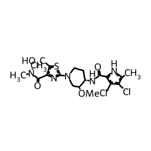 CO[C@H]1CN(c2nc(C(=O)N(C)C)c(C(=O)O)s2)CC[C@H]1NC(=O)c1[nH]c(C)c(Cl)c1Cl